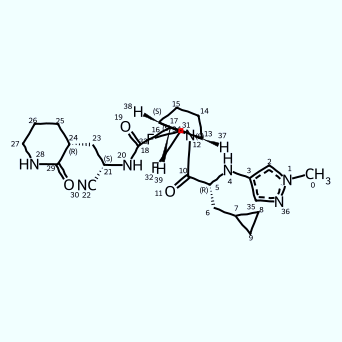 Cn1cc(N[C@H](CC2CC2)C(=O)N2[C@H]3CC[C@@H]([C@H]2C(=O)N[C@H](C#N)C[C@H]2CCCNC2=O)C(F)(F)C3)cn1